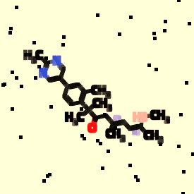 CB/C(C)=C\C=C(/C)CC(=O)C(C)(C)c1ccc(-c2cnc(C)nc2)cc1C